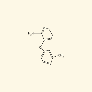 Cc1cccc(OC2=CCCC=C2N)c1